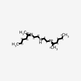 CCCCC(C)=NCCNCCN=C(C)CCCC